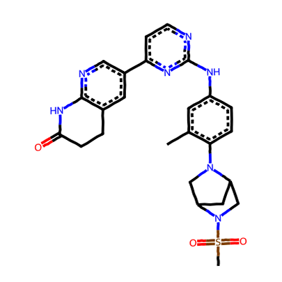 Cc1cc(Nc2nccc(-c3cnc4c(c3)CCC(=O)N4)n2)ccc1N1CC2CC1CN2S(C)(=O)=O